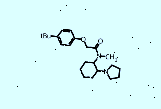 CN(C(=O)COc1ccc(C(C)(C)C)cc1)C1CCCCC1N1CCCC1